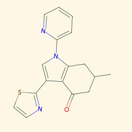 CC1CC(=O)c2c(-c3nccs3)cn(-c3ccccn3)c2C1